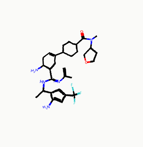 C=C(C)/N=C(/NC(C)C1=C=C(C(F)(F)F)C=C1N)C1CC(C2CCC(C(=O)N(C)C3CCOC3)CC2)=CCC1N